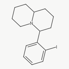 Ic1ccccc1C1CCCC2CCCCN21